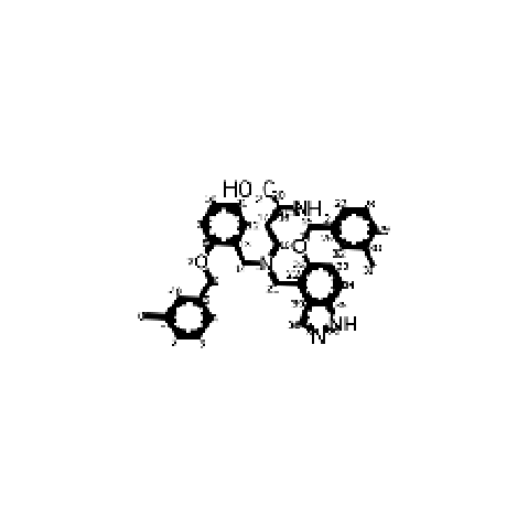 Cc1cccc(COc2ccccc2CN(CC[C@H](N)C(=O)O)Cc2c(OCc3cccc(C)c3)ccc3[nH]ncc23)c1